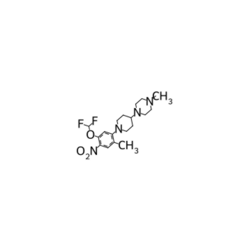 Cc1cc([N+](=O)[O-])c(OC(F)F)cc1N1CCC(N2CCN(C)CC2)CC1